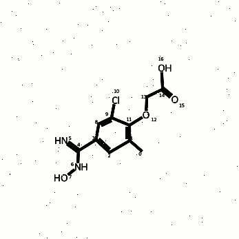 Cc1cc(C(=N)NO)cc(Cl)c1OCC(=O)O